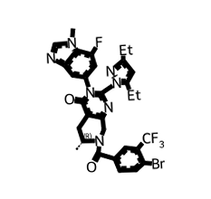 CCc1cc(CC)n(-c2nc3c(c(=O)n2-c2cc(F)c4c(c2)ncn4C)C[C@@H](C)N(C(=O)c2ccc(Br)c(C(F)(F)F)c2)C3)n1